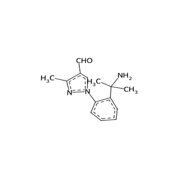 Cc1nn(-c2ccccc2C(C)(C)N)cc1C=O